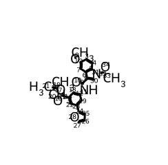 COc1ccc2c(c1)c(C(=O)Nc1cc(C(=O)OC(C)(C)C)cc(-c3ccco3)c1)cn2C(C)=O